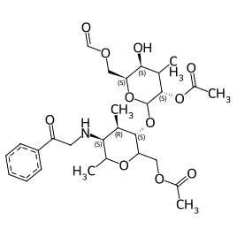 CC(=O)OCC1OC(C)[C@@H](NCC(=O)c2ccccc2)[C@@H](C)[C@@H]1OC1O[C@@H](COC=O)[C@@H](O)C(C)[C@@H]1OC(C)=O